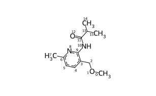 COCc1ccc(C)nc1NC(=O)C(C)C